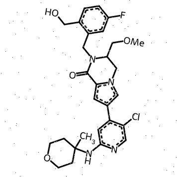 COCC1Cn2cc(-c3cc(NC4(C)CCOCC4)ncc3Cl)cc2C(=O)N1Cc1cc(F)ccc1CO